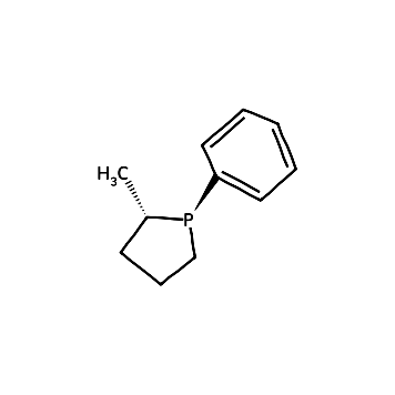 C[C@H]1CCC[P@]1c1ccccc1